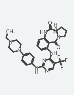 CCN1CCN(c2ccc(Nc3ncc(C(F)(F)F)c(Nc4cccc5c4C(=O)N4CCC[C@H]4C(=O)N5)n3)cc2)CC1